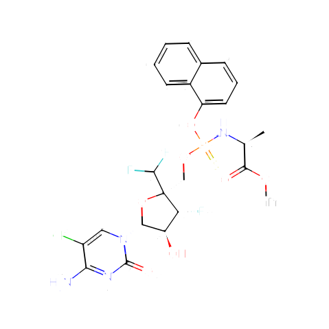 CC(C)OC(=O)[C@H](C)NP(=S)(OC[C@@]1(C(F)F)O[C@@H](n2cc(Cl)c(N)nc2=O)[C@H](O)[C@H]1F)Oc1cccc2ccccc12